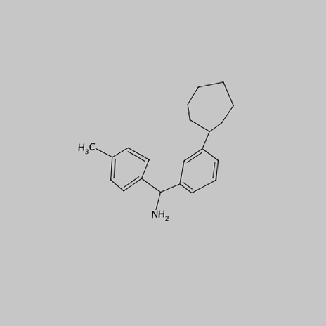 Cc1ccc(C(N)c2cccc(C3CCCCCC3)c2)cc1